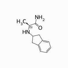 C[C@H](NC1Cc2ccccc2C1)C(N)=O